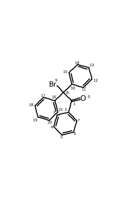 O=C(c1[c]cccc1)C(Br)(c1[c]cccc1)c1[c]cccc1